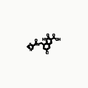 O=C(NCc1cc(Cl)cc2cc(C(=O)O)c(=O)[nH]c12)c1cncs1